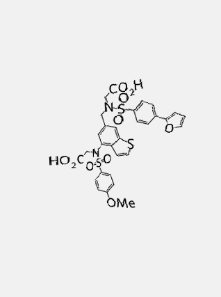 COc1ccc(S(=O)(=O)N(CC(=O)O)c2cc(CN(CC(=O)O)S(=O)(=O)c3ccc(-c4ccco4)cc3)cc3sccc23)cc1